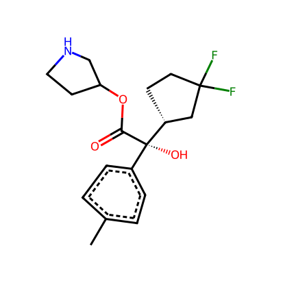 Cc1ccc([C@@](O)(C(=O)OC2CCNC2)[C@@H]2CCC(F)(F)C2)cc1